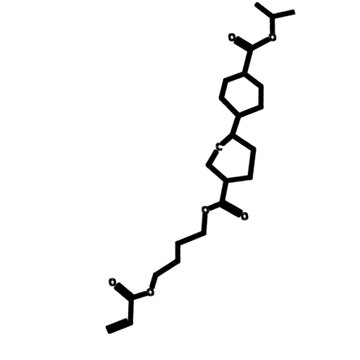 C=CC(=O)OCCCCOC(=O)C1CCC(C2CCC(C(=O)OC(C)C)CC2)CC1